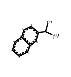 O=S(=O)(O)C(O)c1ccc2ccccc2c1